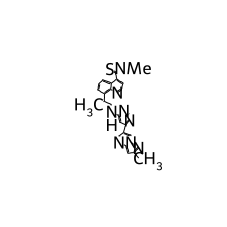 CNC(=S)c1ccnc2c(C(C)CNc3cc(-c4cnc5cc(C)nn5c4)ncn3)cccc12